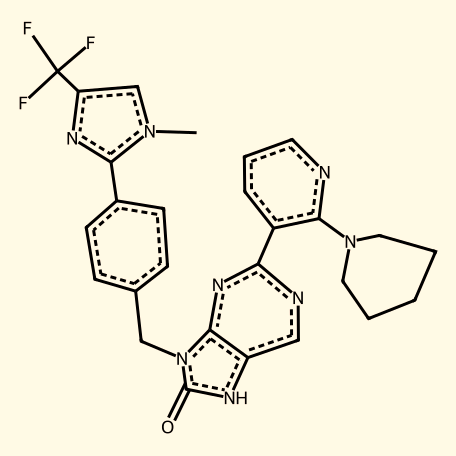 Cn1cc(C(F)(F)F)nc1-c1ccc(Cn2c(=O)[nH]c3cnc(-c4cccnc4N4CCCCC4)nc32)cc1